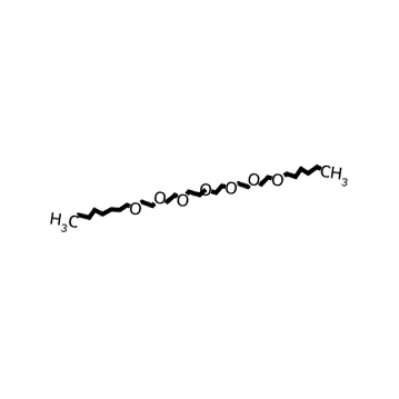 CCCCCCCCOCCOCCOCCOCCOCCOCCOCCCCCC